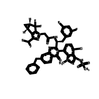 Cn1nc(NS(C)(=O)=O)c2c(Cl)ccc(-n3c([C@H](Cc4cc(F)cc(F)c4)NC(=O)Cn4nc(C(F)F)c5c4C(F)(F)[C@@H]4C[C@H]54)nc4cc(Cc5ccccc5)ccc4c3=O)c21